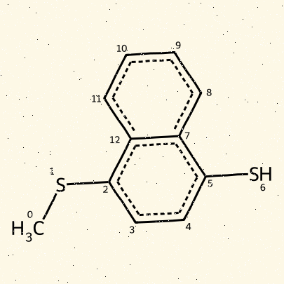 CSc1ccc(S)c2ccccc12